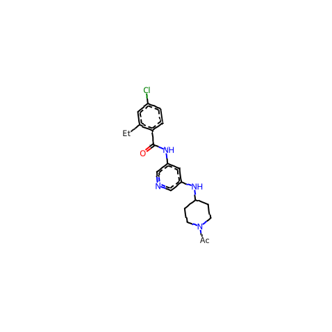 CCc1cc(Cl)ccc1C(=O)Nc1cncc(NC2CCN(C(C)=O)CC2)c1